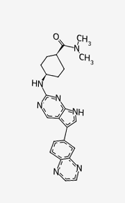 CN(C)C(=O)[C@H]1CC[C@@H](Nc2ncc3c(-c4ccc5nccnc5c4)c[nH]c3n2)CC1